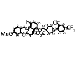 COc1ccc(CN2C(=O)CCc3c(OCC4(C(=O)O)CCN(c5ccc(C(F)(F)F)cc5Cl)CC4)ccc(F)c32)cc1